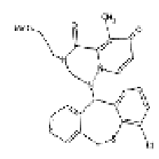 COCCN1CN(C2c3ccccc3CSc3c(Cl)cccc32)n2ccc(=O)c(C)c2C1=O